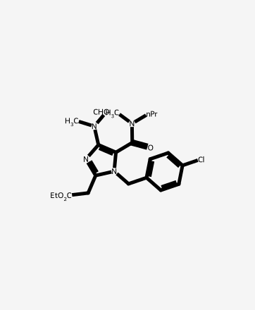 CCCN(C)C(=O)c1c(N(C)C=O)nc(CC(=O)OCC)n1Cc1ccc(Cl)cc1